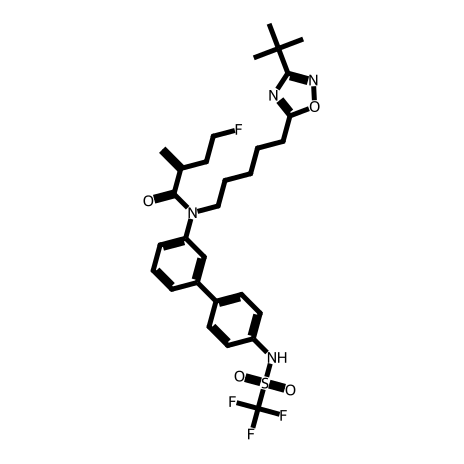 C=C(CCF)C(=O)N(CCCCCc1nc(C(C)(C)C)no1)c1cccc(-c2ccc(NS(=O)(=O)C(F)(F)F)cc2)c1